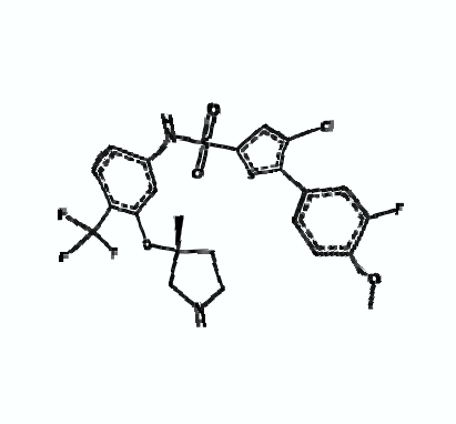 COc1ccc(-c2sc(S(=O)(=O)Nc3ccc(C(F)(F)F)c(O[C@]4(C)CCNC4)c3)cc2Cl)cc1F